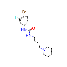 O=C(NCCCCN1CCCCC1)Nc1ccc(Br)c(F)c1